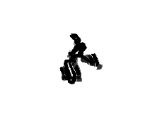 COC(=O)CNc1nc(OC)ccc1N